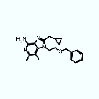 Cc1nc(N)c2nc(CC3CC3)n(CCOCc3ccccc3)c2c1C